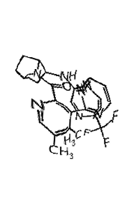 Cc1cnc(C(=O)N2C3CCC2C(Nc2cnc(C(F)(F)F)cn2)C3)c(-c2ncccn2)c1C